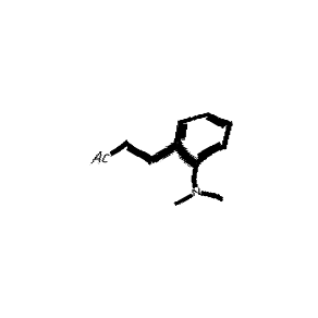 CC(=O)/C=C/c1ccccc1N(C)C